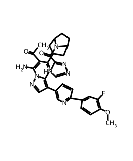 COc1ccc(-c2ccc(-c3cnn4c(N)c(C(C)=O)c(C5CC6CCC(C5)N6C(=O)c5nnc[nH]5)nc34)cn2)cc1F